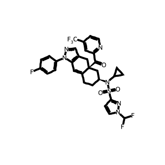 O=C(c1cc(C(F)(F)F)ccn1)[C@]12Cc3cnn(-c4ccc(F)cc4)c3C=C1CC[C@H](N(C1CC1)S(=O)(=O)c1ccn(C(F)F)n1)C2